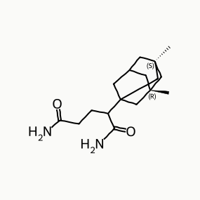 C[C@]12CC3CC(C(CCC(N)=O)C(N)=O)(C1)C[C@@](C)(C3)C2